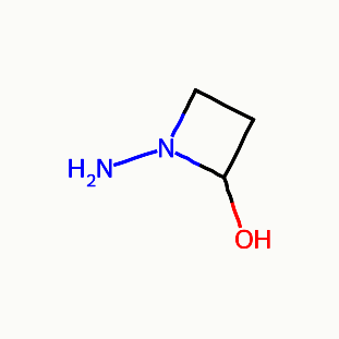 NN1CCC1O